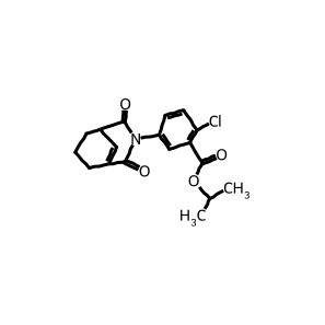 CC(C)OC(=O)c1cc(N2C(=O)C3=CC(CCC3)C2=O)ccc1Cl